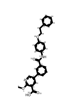 COc1ncc(-c2cccc(C(=O)Nc3ccc(OCCc4ccccc4)cc3)c2)cc1C(=O)O